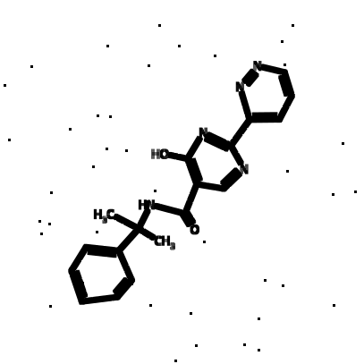 CC(C)(NC(=O)c1cnc(-c2cccnn2)nc1O)c1ccccc1